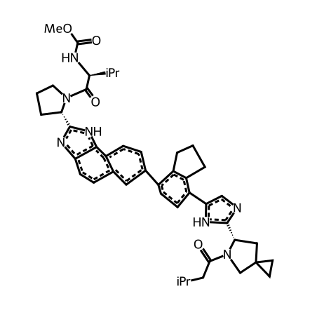 COC(=O)N[C@H](C(=O)N1CCC[C@H]1c1nc2ccc3cc(-c4ccc(-c5cnc([C@@H]6CC7(CC7)CN6C(=O)CC(C)C)[nH]5)c5c4CCC5)ccc3c2[nH]1)C(C)C